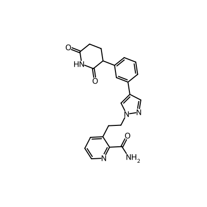 NC(=O)c1ncccc1CCn1cc(-c2cccc(C3CCC(=O)NC3=O)c2)cn1